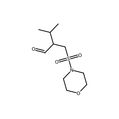 CC(C)C([C]=O)CS(=O)(=O)N1CCOCC1